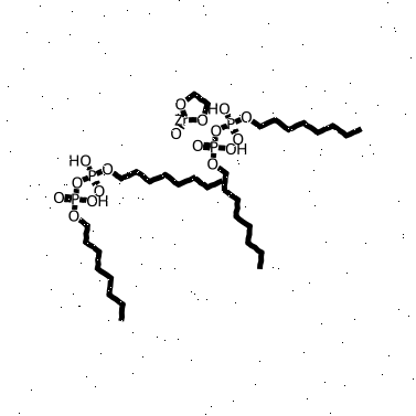 CCCCCCCCOP(=O)(O)OP(=O)(O)OCCCCCCCC.CCCCCCCCOP(=O)(O)OP(=O)(O)OCCCCCCCC.[O]=[Zr]1[O]CC[O]1